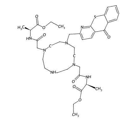 CCOC(=O)[C@H](C)NC(=O)CN1CCNCCN(CC(=O)N[C@@H](C)C(=O)OCC)CCN(Cc2ccc3c(=O)c4ccccc4sc3n2)CC1